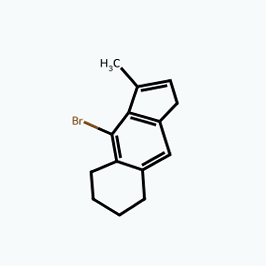 CC1=CCc2cc3c(c(Br)c21)CCCC3